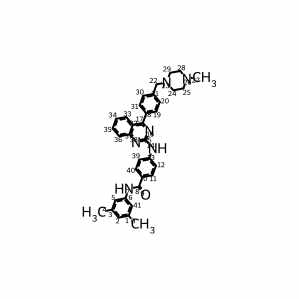 Cc1cc(C)cc(NC(=O)c2ccc(Nc3nc(-c4ccc(CN5CCN(C)CC5)cc4)c4ccccc4n3)cc2)c1